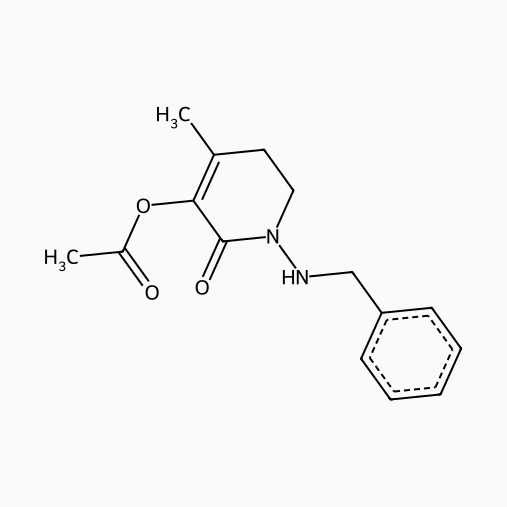 CC(=O)OC1=C(C)CCN(NCc2ccccc2)C1=O